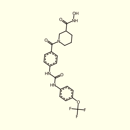 O=C(Nc1ccc(OC(F)(F)F)cc1)Nc1ccc(C(=O)N2CCCC(C(=O)NO)C2)cc1